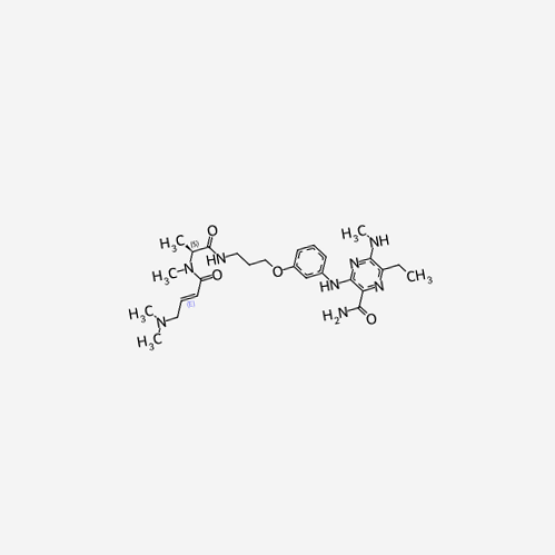 CCc1nc(C(N)=O)c(Nc2cccc(OCCCNC(=O)[C@H](C)N(C)C(=O)/C=C/CN(C)C)c2)nc1NC